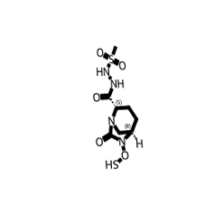 CS(=O)(=O)NNC(=O)[C@@H]1CC[C@@H]2CN1C(=O)N2OS